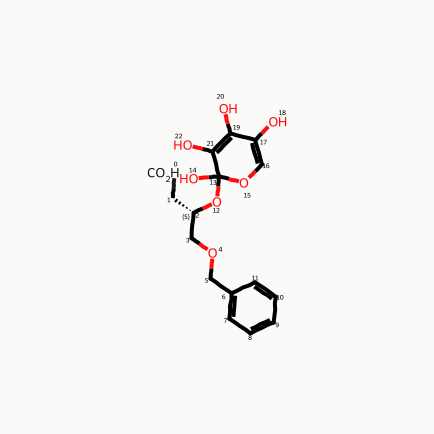 O=C(O)C[C@@H](COCc1ccccc1)OC1(O)OC=C(O)C(O)=C1O